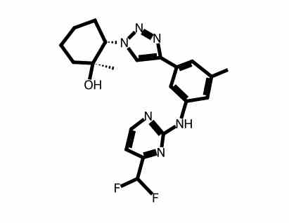 Cc1cc(Nc2nccc(C(F)F)n2)cc(-c2cn([C@H]3CCCC[C@]3(C)O)nn2)c1